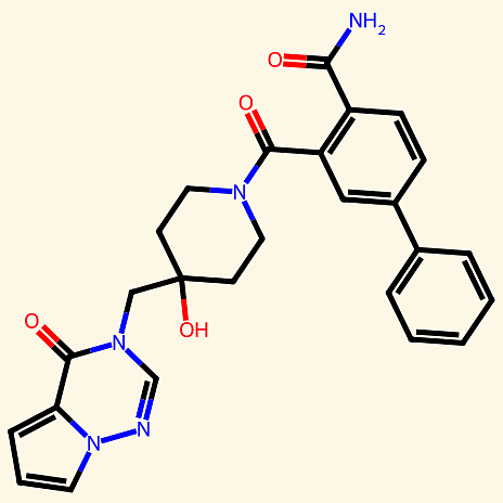 NC(=O)c1ccc(-c2ccccc2)cc1C(=O)N1CCC(O)(Cn2cnn3cccc3c2=O)CC1